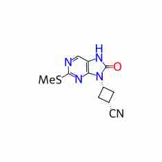 CSc1ncc2[nH]c(=O)n([C@H]3C[C@@H](C#N)C3)c2n1